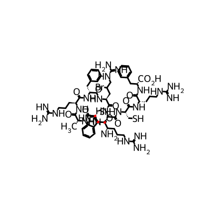 C[C@@H](NC(=O)[C@H](CS)NC(=O)[C@@H](N)CCCNC(=N)N)C(=O)N[C@@H](CCCNC(=N)N)C(=O)N[C@H](Cc1ccccc1)C(=O)N[C@@H](CC(Br)CNC(=N)N)C(=O)N[C@H](Cc1c[nH]c2ccccc12)C(=O)N[C@@H](CS)C(=O)N[C@@H](CCCNC(=N)N)C(=O)N[C@H](Cc1ccccc1)C(=O)O